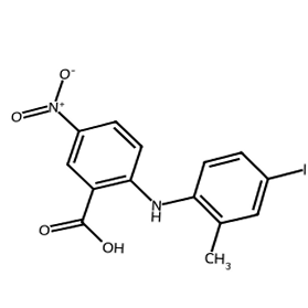 Cc1cc(I)ccc1Nc1ccc([N+](=O)[O-])cc1C(=O)O